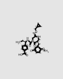 CC[C@@H](NC(=O)N1C/C(=N/OCC2CC2)NC[C@@H](Cc2cc(Cl)ccc2OC)C1=O)c1ccc(C(=O)O)cc1